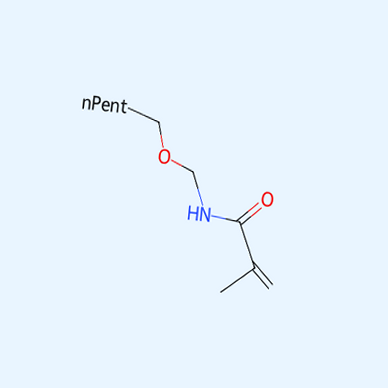 C=C(C)C(=O)NCOCCCCCC